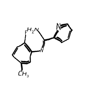 Cc1ccc(F)c(/N=C(\N)c2ccccn2)c1